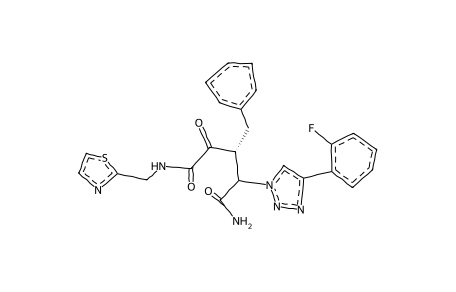 NC(=O)C([C@@H](Cc1ccccc1)C(=O)C(=O)NCc1nccs1)n1cc(-c2ccccc2F)nn1